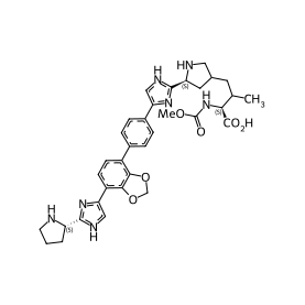 COC(=O)N[C@H](C(=O)O)C(C)CC1CN[C@H](c2nc(-c3ccc(-c4ccc(-c5c[nH]c([C@@H]6CCCN6)n5)c5c4OCO5)cc3)c[nH]2)C1